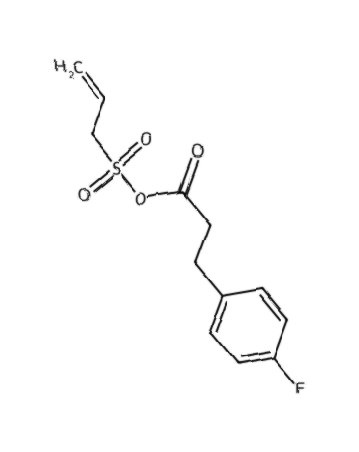 C=CCS(=O)(=O)OC(=O)CCc1ccc(F)cc1